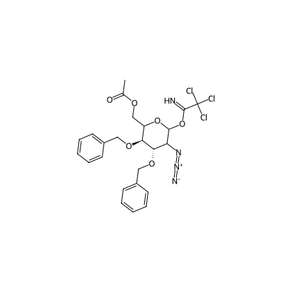 CC(=O)OCC1OC(OC(=N)C(Cl)(Cl)Cl)C(N=[N+]=[N-])[C@H](OCc2ccccc2)[C@H]1OCc1ccccc1